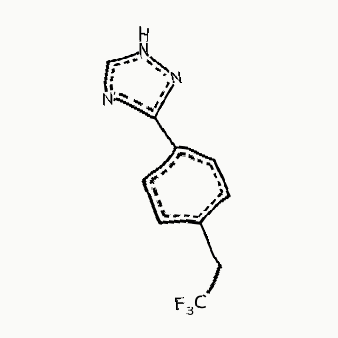 FC(F)(F)Cc1ccc(-c2nc[nH]n2)cc1